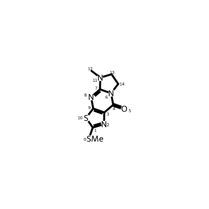 CSc1nc2c(=O)n3c(nc2s1)N(C)CC3